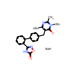 CCCCc1nc(C)n(CCCC)c(=O)c1Cc1ccc(-c2ccccc2-c2noc(=O)[nH]2)cc1.[NaH]